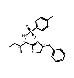 CC[C@H](C)[C@H](NS(=O)(=O)c1ccc(C)cc1)C1=N[C@@H](Cc2ccccc2)CO1